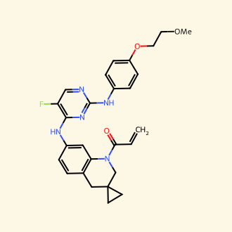 C=CC(=O)N1CC2(CC2)Cc2ccc(Nc3nc(Nc4ccc(OCCOC)cc4)ncc3F)cc21